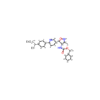 CCOC(=O)C(CC)c1ccc(-c2ccc(-c3onc(C)c3NC(=O)OC(C)c3ccccc3)cn2)cc1